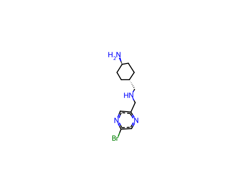 N[C@H]1CC[C@H](CNCc2cnc(Br)cn2)CC1